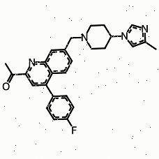 CC(=O)c1cc(-c2ccc(F)cc2)c2ccc(CN3CCC(n4cnc(C)c4)CC3)cc2n1